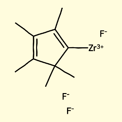 CC1=C(C)C(C)(C)[C]([Zr+3])=C1C.[F-].[F-].[F-]